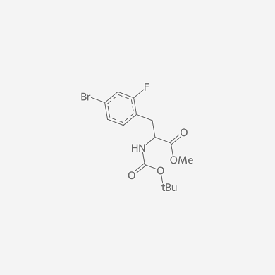 COC(=O)C(Cc1ccc(Br)cc1F)NC(=O)OC(C)(C)C